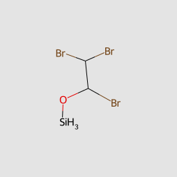 [SiH3]OC(Br)C(Br)Br